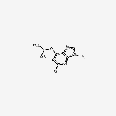 CC(C)Oc1nc(Cl)nc2c1ncn2C